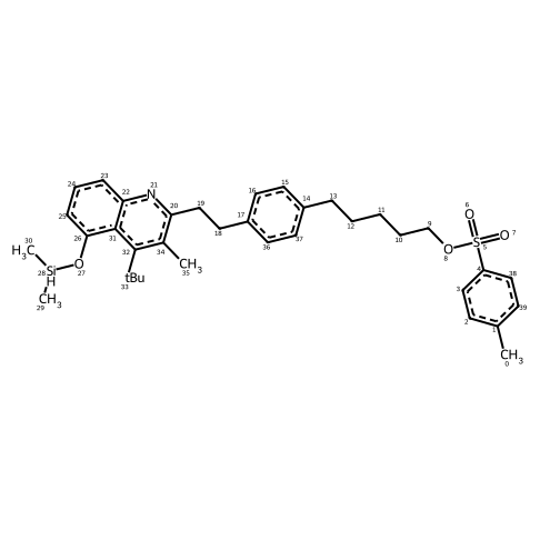 Cc1ccc(S(=O)(=O)OCCCCCc2ccc(CCc3nc4cccc(O[SiH](C)C)c4c(C(C)(C)C)c3C)cc2)cc1